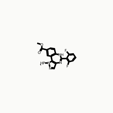 COC(=O)c1ccc2c(c1)-c1c(cnn1PC)N=C(c1c(F)cccc1F)N2